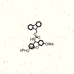 CCCOc1ccc(C(NC(=O)OCC2c3ccccc3-c3ccccc32)c2ccc(OC)cc2OC)cc1